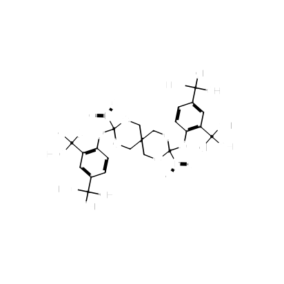 CC(C)(C)c1ccc(OC2(P(=O)=O)OCC3(CO2)COC(Oc2ccc(C(C)(C)C)cc2C(C)(C)C)(P(=O)=O)OC3)c(C(C)(C)C)c1